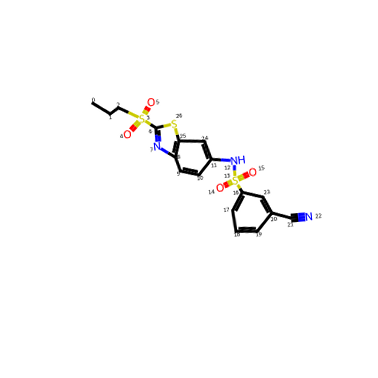 CCCS(=O)(=O)c1nc2ccc(NS(=O)(=O)c3cccc(C#N)c3)cc2s1